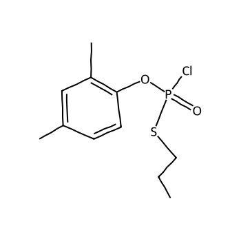 CCCSP(=O)(Cl)Oc1ccc(C)cc1C